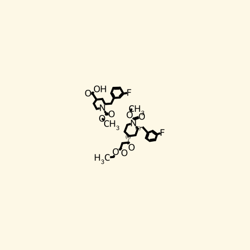 CCOC(=O)CC(=O)[C@@H]1CCN(C(=O)OC)[C@H](Cc2cccc(F)c2)C1.COC(=O)N1CCC(C(=O)O)CC1Cc1cccc(F)c1